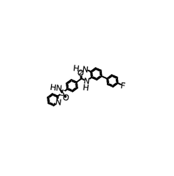 N=S(=O)(c1ccc(C(=O)Nc2cc(-c3ccc(F)cc3)ccc2N)cc1)c1ccccn1